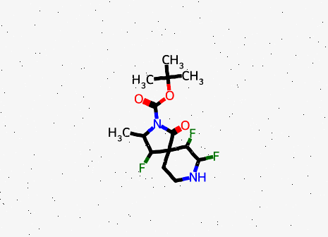 CC1C(F)C2(CCNC(F)C2F)C(=O)N1C(=O)OC(C)(C)C